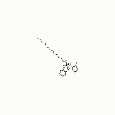 CCCCCCCCCCCCCOP(=O)(Oc1ccccc1C)Oc1ccccc1C